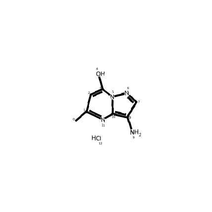 Cc1cc(O)n2ncc(N)c2n1.Cl